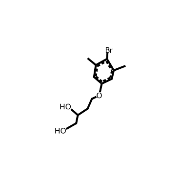 Cc1cc(OCCC(O)CO)cc(C)c1Br